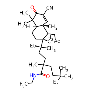 CCC(C)(C)CC[C@@](C)(CC[C@](C)(CC)[C@]1(C)CC[C@H]2C(C)(C)C(=O)C(C#N)=C[C@]2(C)[C@H]1CC(C)=O)C(=O)NCC(F)(F)F